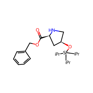 CC(C)[Si](O[C@@H]1CN[C@H](C(=O)OCc2ccccc2)C1)(C(C)C)C(C)C